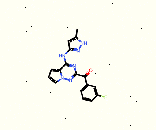 Cc1cc(Nc2nc(C(=O)c3cccc(F)c3)nn3cccc23)n[nH]1